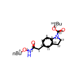 CCCCONC(=O)Cc1ccc2c(c1)CCN2C(=O)OC(C)(C)C